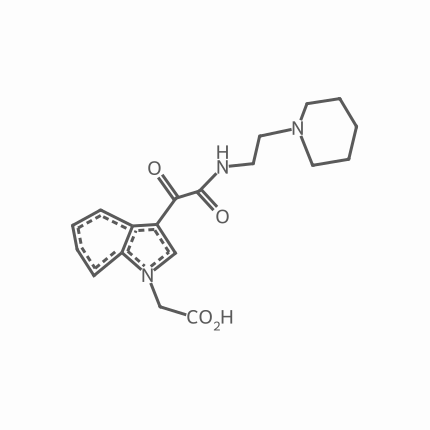 O=C(O)Cn1cc(C(=O)C(=O)NCCN2CCCCC2)c2ccccc21